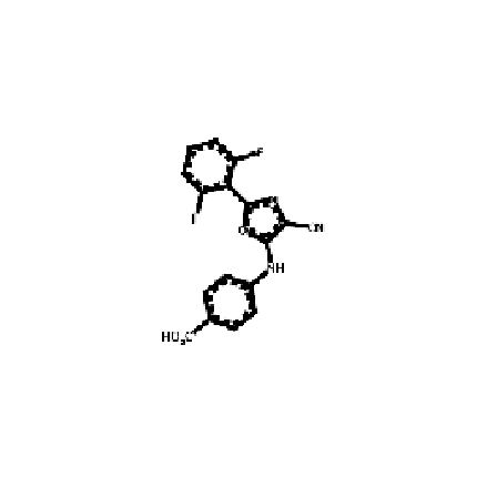 N#Cc1nc(-c2c(F)cccc2F)oc1Nc1ccc(C(=O)O)cc1